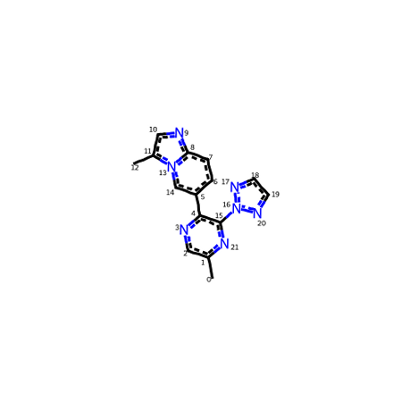 Cc1cnc(-c2ccc3ncc(C)n3c2)c(-n2nccn2)n1